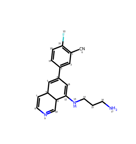 N#Cc1cc(C2=CC3C=CN=CC3C(NCCCN)=C2)ccc1F